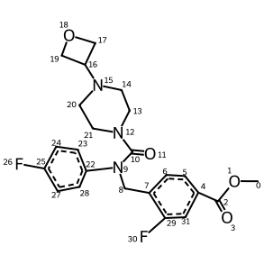 COC(=O)c1ccc(CN(C(=O)N2CCN(C3COC3)CC2)c2ccc(F)cc2)c(F)c1